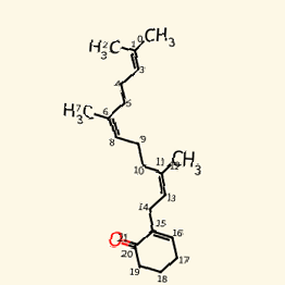 CC(C)=CCCC(C)=CCCC(C)=CCC1=CCCCC1=O